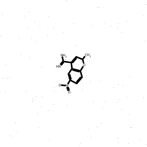 CC1C=C(C(=N)N)c2cc([N+](=O)[O-])ccc2O1